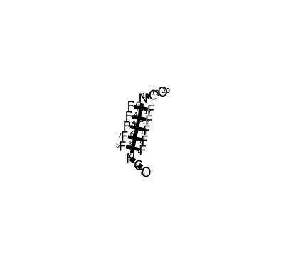 O=C=NC(F)(F)C(F)(F)C(F)(F)C(F)(F)C(F)(F)N=C=O